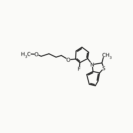 COCCCCOc1cccc(N2c3ccccc3SC2C)c1F